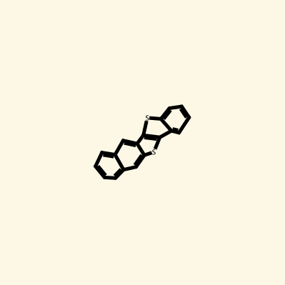 c1ccc2cc3c(cc2c1)sc1c2ccccc2sc31